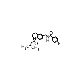 CC(C)CC(=O)N1CCCc2cc(CNC(=O)c3ccc(F)cc3)ccc21